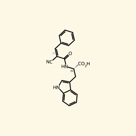 N#C/C(=C/c1ccccc1)C(=O)N[C@@H](Cc1c[nH]c2ccccc12)C(=O)O